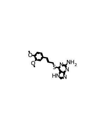 COc1ccc(/C=C/CSc2nc(N)nc3nc[nH]c23)cc1OC